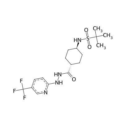 CC(C)(C)S(=O)(=O)N[C@H]1CC[C@H](C(=O)NNc2ccc(C(F)(F)F)cn2)CC1